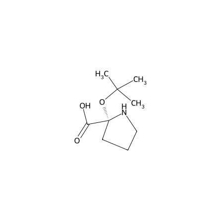 CC(C)(C)O[C@@]1(C(=O)O)CCCN1